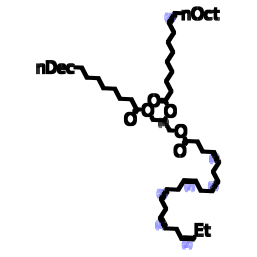 CC/C=C\C/C=C\C/C=C\C/C=C\C/C=C\C/C=C\CCC(=O)OC[C@@H](COC(=O)CCCCCCCCCCCCCCCCC)OC(=O)CCCCCCC/C=C\CCCCCCCC